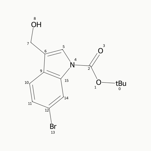 CC(C)(C)OC(=O)n1cc(CO)c2ccc(Br)cc21